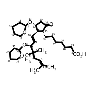 CC(C)=CCC(C)(C)[C@H](/C=C/[C@H]1[C@H](OC2CCCCO2)CC(=O)[C@@H]1CCCCCCC(=O)O)OC1CCCCO1